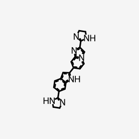 c1cc2cc(-c3ccn4cc(C5=NCCN5)nc4c3)[nH]c2cc1C1=NCCN1